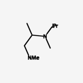 CNCC(C)N(C)C(C)C